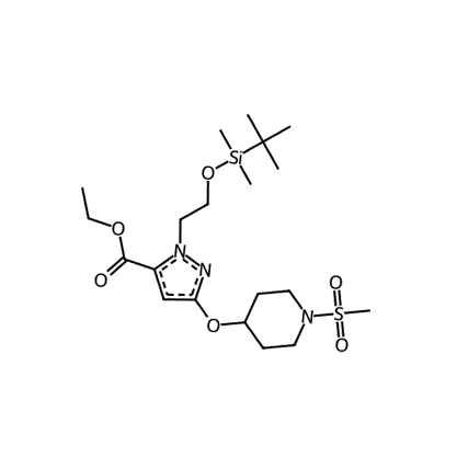 CCOC(=O)c1cc(OC2CCN(S(C)(=O)=O)CC2)nn1CCO[Si](C)(C)C(C)(C)C